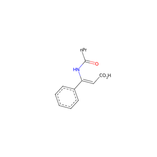 CCCC(=O)NC(=CC(=O)O)c1ccccc1